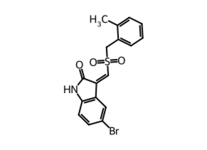 Cc1ccccc1CS(=O)(=O)C=C1C(=O)Nc2ccc(Br)cc21